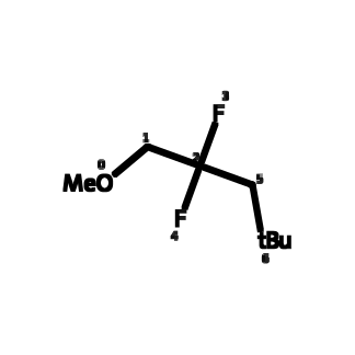 COCC(F)(F)CC(C)(C)C